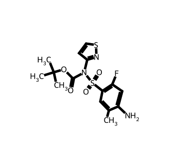 Cc1cc(S(=O)(=O)N(C(=O)OC(C)(C)C)c2ccsn2)c(F)cc1N